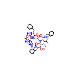 CC(C)CC(C(=O)N(C(=O)[C@H](Cc1c[nH]cn1)NC(=O)[C@H](Cc1ccccc1)NC(=O)OC(C)(C)C)[C@H](CC(C)C)C(=O)NCc1ccccc1)[C@H](O)[C@@H](N)Cc1ccccc1